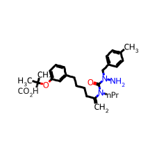 C=C(CCCCc1cccc(OC(C)(C)C(=O)O)c1)N(CCC)C(=O)N(N)Cc1ccc(C)cc1